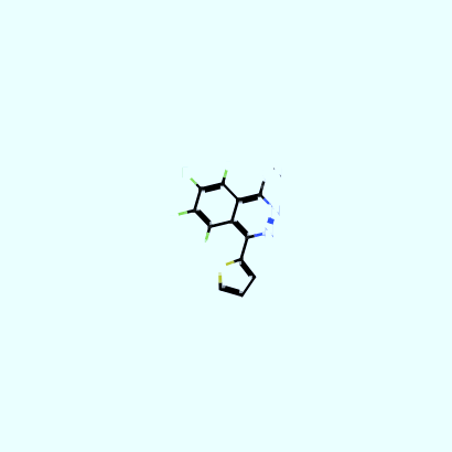 N#Cc1nnc(-c2cccs2)c2c(F)c(F)c(F)c(F)c12